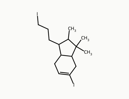 CC1C(CCCI)C2CC=C(I)CC2C1(C)C